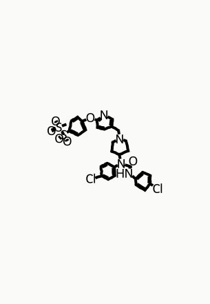 CS(=O)(=O)S(=O)(=O)c1ccc(Oc2ccc(CN3CCC(N(C(=O)Nc4ccc(Cl)cc4)c4ccc(Cl)cc4)CC3)cn2)cc1